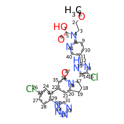 COCCN(C(=O)O)c1ccc(-c2nc(Cl)c([C@@H]3CCc4cc(-c5cc(Cl)ccc5-n5cnnn5)cc(=O)n43)[nH]2)cn1